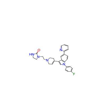 O=C1NCCN1CCN1CC=C(c2cn(-c3ccc(F)cc3)c3ccc(-c4ccccn4)cc23)CC1